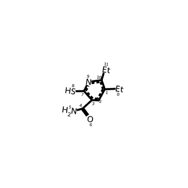 CCc1cc(C(N)=O)c(S)nc1CC